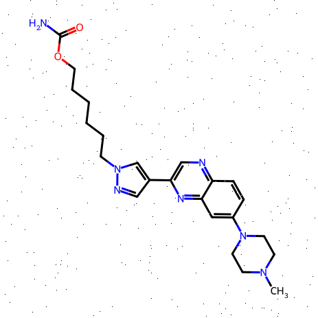 CN1CCN(c2ccc3ncc(-c4cnn(CCCCCCOC(N)=O)c4)nc3c2)CC1